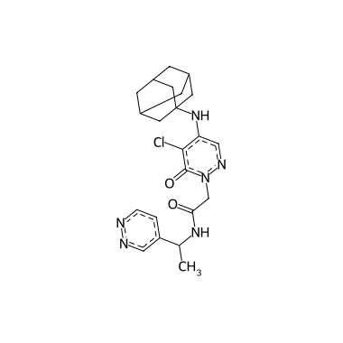 CC(NC(=O)Cn1ncc(NC23CC4CC(CC(C4)C2)C3)c(Cl)c1=O)c1ccnnc1